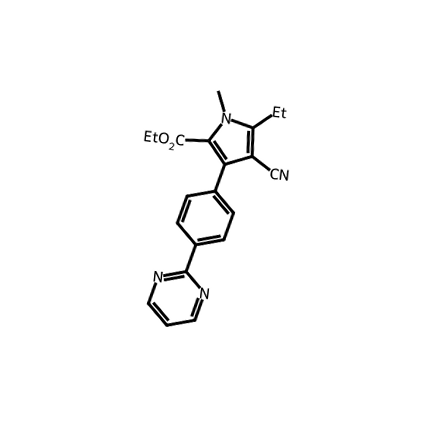 CCOC(=O)c1c(-c2ccc(-c3ncccn3)cc2)c(C#N)c(CC)n1C